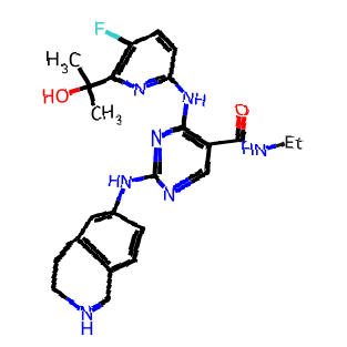 CCNC(=O)c1cnc(Nc2ccc3c(c2)CCNC3)nc1Nc1ccc(F)c(C(C)(C)O)n1